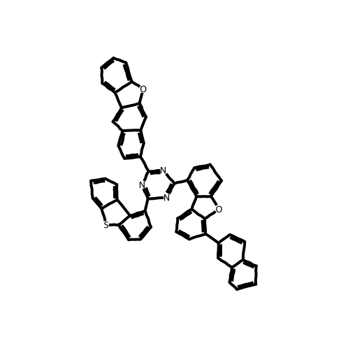 c1ccc2cc(-c3cccc4c3oc3cccc(-c5nc(-c6ccc7cc8c(cc7c6)oc6ccccc68)nc(-c6cccc7sc8ccccc8c67)n5)c34)ccc2c1